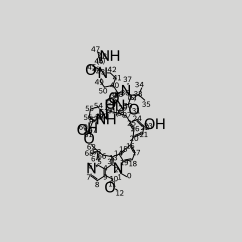 CCn1c(-c2cnccc2COC)c2c3cc(ccc31)-c1cc(O)cc(c1)C[C@H](NC(=O)[C@H](C(C)C)N(C)C(=O)C1CCN(C(=O)[C@@H]3CN3)CC1)C(=O)N1CCC[C@H](N1)C(=O)OCC(C)(C)C2